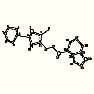 Cc1oc(-c2ccccc2)nc1CCOc1cccc2occc12